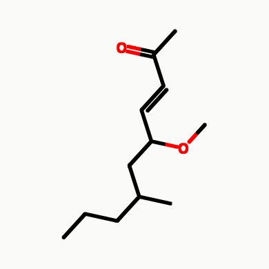 CCCC(C)CC(C=CC(C)=O)OC